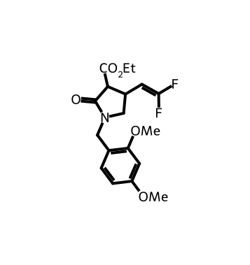 CCOC(=O)C1C(=O)N(Cc2ccc(OC)cc2OC)CC1C=C(F)F